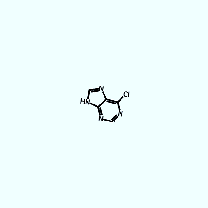 Clc1n[c]nc2[nH]cnc12